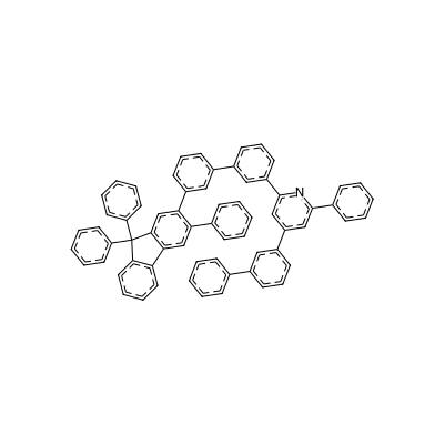 c1ccc(-c2cccc(-c3cc(-c4ccccc4)nc(-c4cccc(-c5cccc(-c6cc7c(cc6-c6ccccc6)-c6ccccc6C7(c6ccccc6)c6ccccc6)c5)c4)c3)c2)cc1